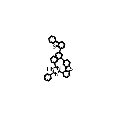 c1ccc(C2=NC(c3cccc4sc5ccc(-c6cccc(-c7cccc8c7sc7ccccc78)c6)cc5c34)=NC(c3ccccc3)N2)cc1